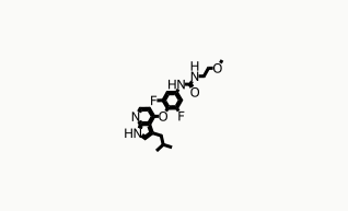 COCCNC(=O)Nc1cc(F)c(Oc2ccnc3[nH]cc(CC(C)C)c23)c(F)c1